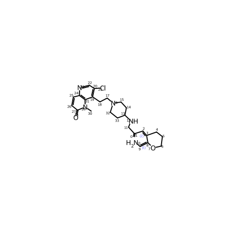 C=C(/C=C1/CCCO/C1=C/N)CNC1CCN(CCc2c(Cl)cnc3ccc(=O)n(C)c23)CC1